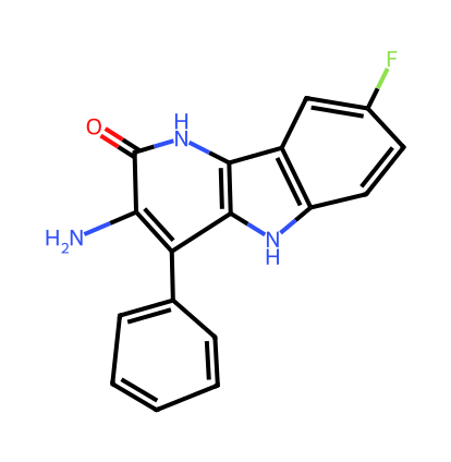 Nc1c(-c2ccccc2)c2[nH]c3ccc(F)cc3c2[nH]c1=O